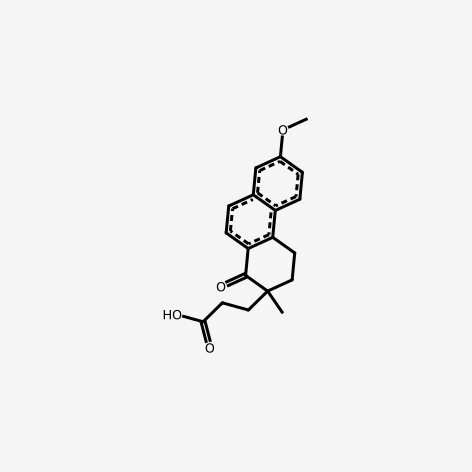 COc1ccc2c3c(ccc2c1)C(=O)C(C)(CCC(=O)O)CC3